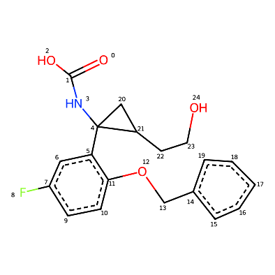 O=C(O)NC1(c2cc(F)ccc2OCc2ccccc2)CC1CCO